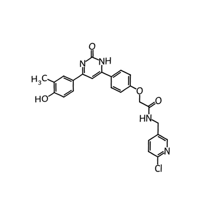 Cc1cc(-c2cc(-c3ccc(OCC(=O)NCc4ccc(Cl)nc4)cc3)[nH]c(=O)n2)ccc1O